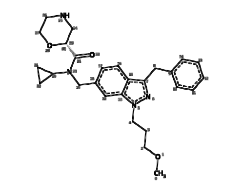 COCCCn1nc(Cc2ccccc2)c2ccc(CN(C(=O)[C@H]3CNCCO3)C3CC3)cc21